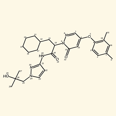 Cc1ccc(Oc2cnn(C(CC3CCCCC3)C(=O)Nc3ccn(CC(C)(C)O)n3)c(=O)c2)c(C)c1